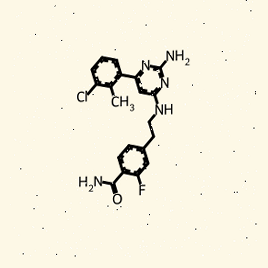 Cc1c(Cl)cccc1-c1cc(NCCc2ccc(C(N)=O)c(F)c2)nc(N)n1